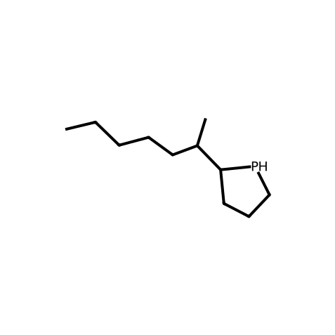 CCCCCC(C)C1CCCP1